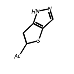 CC(=O)C1Cc2[nH]ncc2S1